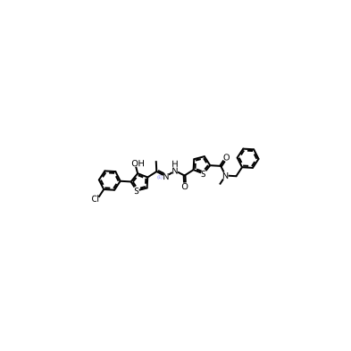 C/C(=N\NC(=O)c1ccc(C(=O)N(C)Cc2ccccc2)s1)c1csc(-c2cccc(Cl)c2)c1O